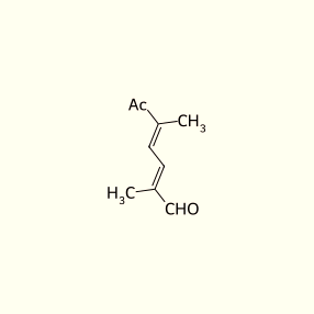 CC(=O)/C(C)=C/C=C(\C)C=O